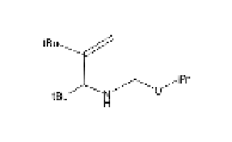 C=C(C(NCOC(C)C)C(C)(C)C)C(C)(C)C